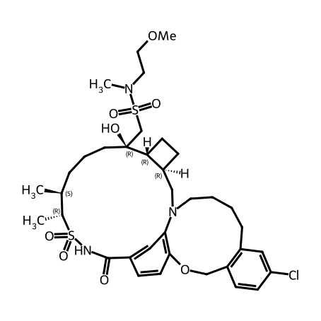 COCCN(C)S(=O)(=O)C[C@@]1(O)CCC[C@H](C)[C@@H](C)S(=O)(=O)NC(=O)c2ccc3c(c2)N(CCCCc2cc(Cl)ccc2CO3)C[C@@H]2CC[C@H]21